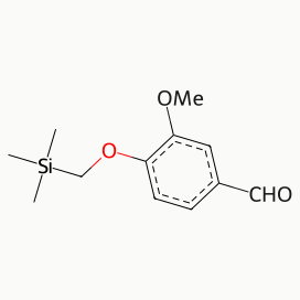 COc1cc(C=O)ccc1OC[Si](C)(C)C